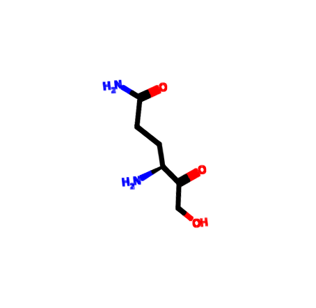 NC(=O)CC[C@H](N)C(=O)CO